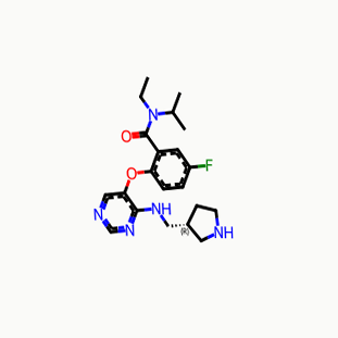 CCN(C(=O)c1cc(F)ccc1Oc1cncnc1NC[C@@H]1CCNC1)C(C)C